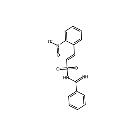 N=C(NS(=O)(=O)C=Cc1ccccc1[N+](=O)[O-])c1ccccc1